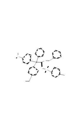 CCc1ccc(C(C(=NS(=O)(=O)c2ccc(C)cc2)NCc2ccccc2)(c2ccccc2)c2ccc([N+](=O)[O-])cc2)cc1